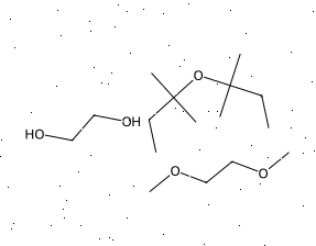 CCC(C)(C)OC(C)(C)CC.COCCOC.OCCO